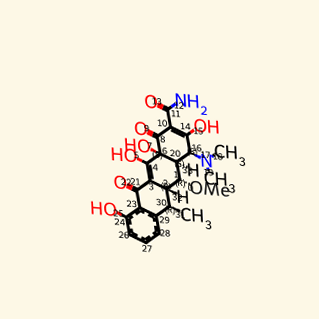 CO[C@@H]1[C@H]2C(=C(O)[C@]3(O)C(=O)C(C(N)=O)=C(O)[C@@H](N(C)C)[C@@H]13)C(=O)c1c(O)cccc1[C@@H]2C